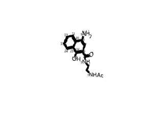 CC(=O)NCCNC(=O)c1cc(N)c2ccccc2c1O